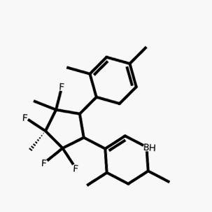 CC1=CCC(C2C(C3=CBC(C)CC3C)C(F)(F)[C@@](C)(F)C2(C)F)C(C)=C1